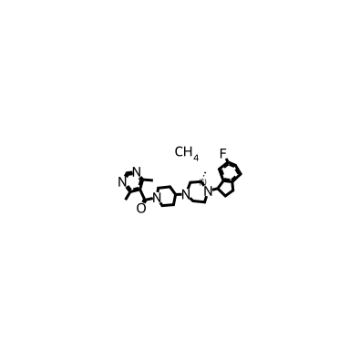 C.Cc1ncnc(C)c1C(=O)N1CCC(N2CCN(C3CCc4ccc(F)cc43)[C@@H](C)C2)CC1